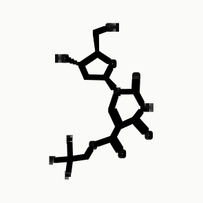 O=C(OCC(F)(F)F)c1cn([C@H]2C[C@H](O)[C@@H](CO)O2)c(=O)[nH]c1=O